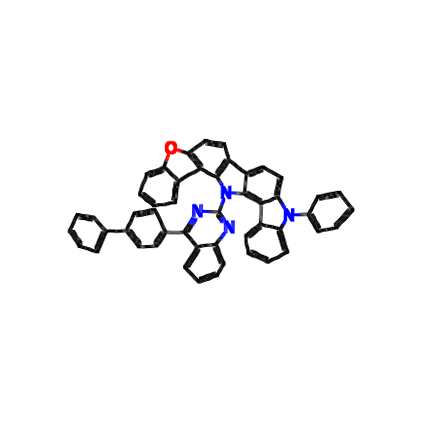 c1ccc(-c2ccc(-c3nc(-n4c5c(ccc6oc7ccccc7c65)c5ccc6c(c7ccccc7n6-c6ccccc6)c54)nc4ccccc34)cc2)cc1